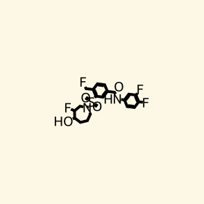 O=C(Nc1ccc(F)c(F)c1)c1ccc(CF)c(S(=O)(=O)N2CCCC(O)C(F)C2)c1